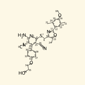 [C-]#[N+]c1c(N)nc(SCc2nc(-c3cc(C)c(OC)cc3C)oc2C)c(C#N)c1-c1ccc(OCCO)cc1